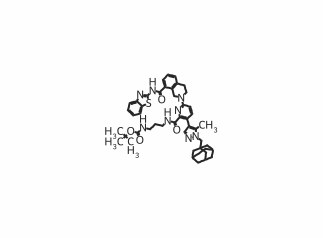 Cc1c(-c2ccc(N3CCc4cccc(C(=O)Nc5nc6ccccc6s5)c4C3)nc2C(=O)NCCCNC(=O)OC(C)(C)C)cnn1CC12CC3CC(CC(C3)C1)C2